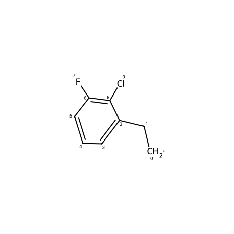 [CH2]Cc1cccc(F)c1Cl